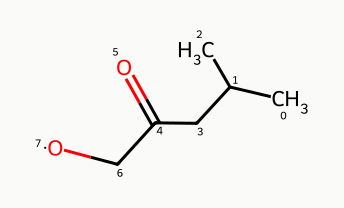 CC(C)CC(=O)C[O]